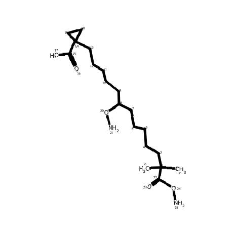 CC(C)(CCCCCC(CCCCCC1(C(=O)O)CC1)ON)C(=O)ON